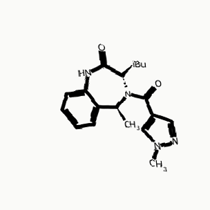 CC[C@H](C)[C@H]1C(=O)Nc2ccccc2[C@H](C)N1C(=O)c1cnn(C)c1